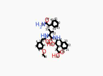 CCOc1cccc(CC(=O)NC(C(=O)N[C@@H](Cc2ccccc2)[C@@H](O)CCC(=O)O)C(C)C)c1.NC(=O)Cc1ccccc1